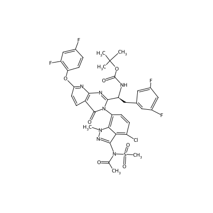 CC(=O)N(c1nn(C)c2c(-n3c([C@H](Cc4cc(F)cc(F)c4)NC(=O)OC(C)(C)C)nc4nc(Oc5ccc(F)cc5F)ccc4c3=O)ccc(Cl)c12)S(C)(=O)=O